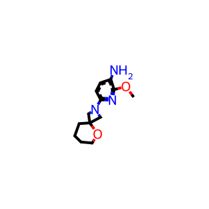 COc1nc(N2CC3(CCCCO3)C2)ccc1N